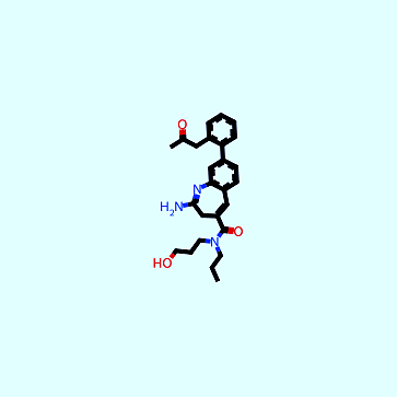 CCCN(CCCO)C(=O)C1=Cc2ccc(-c3ccccc3CC(C)=O)cc2N=C(N)C1